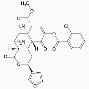 COC(=O)[C@@H]1C=C(OC(=O)c2ccccc2Cl)C(=O)[C@H]2[C@@]1(N)CC[C@H]1C(=O)O[C@H](c3ccoc3)C[C@]21N